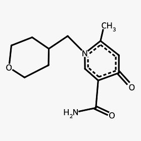 Cc1cc(=O)c(C(N)=O)cn1CC1CCOCC1